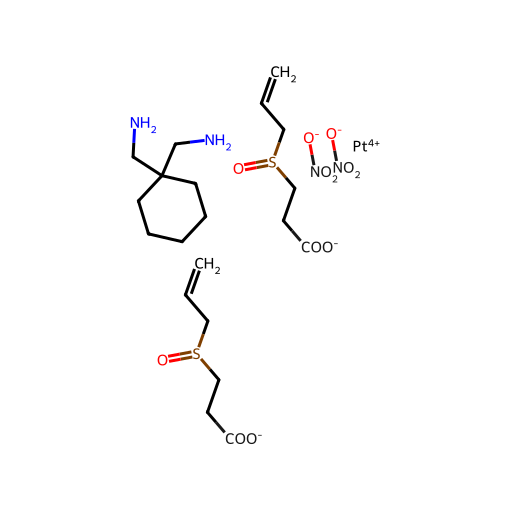 C=CCS(=O)CCC(=O)[O-].C=CCS(=O)CCC(=O)[O-].NCC1(CN)CCCCC1.O=[N+]([O-])[O-].O=[N+]([O-])[O-].[Pt+4]